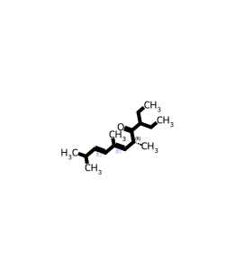 CCC(CC)C(=O)[C@H](C)/C=C(C)/C=C/C(C)C